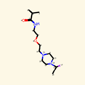 CC(C)C(=O)NCCOCCN1CCN(C(C)I)CC1